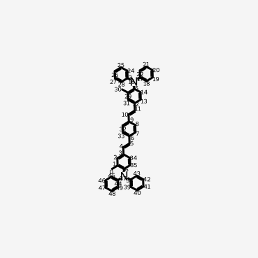 Cc1cc(/C=C/c2ccc(/C=C/c3ccc(N(c4ccccc4)c4ccccc4)c(C)c3)cc2)ccc1N(c1ccccc1)c1ccccc1